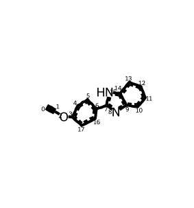 C#COc1ccc(-c2nc3ccccc3[nH]2)cc1